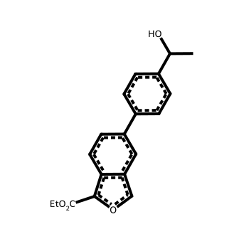 CCOC(=O)c1occ2cc(-c3ccc(C(C)O)cc3)ccc12